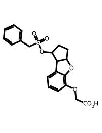 O=C(O)COc1cccc2c1OC1CCC(OS(=O)(=O)Cc3ccccc3)C21